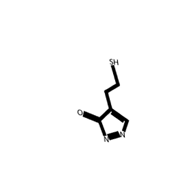 O=C1N=NC=C1CCS